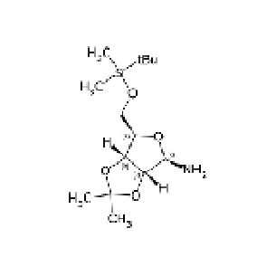 CC1(C)O[C@@H]2[C@H](O1)[C@@H](CO[Si](C)(C)C(C)(C)C)O[C@H]2N